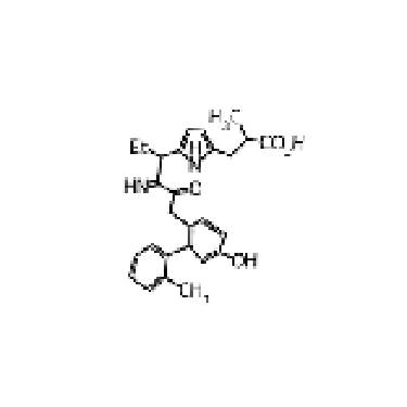 CCC(C(=N)C(=O)Cc1ccc(O)cc1-c1ccccc1C)c1ccc(CC(C)C(=O)O)[nH]1